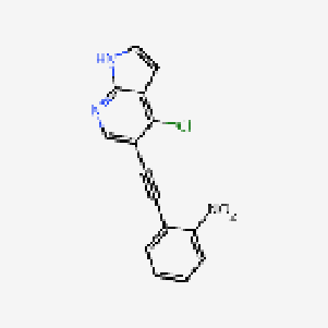 O=[N+]([O-])c1ccccc1C#Cc1cnc2[nH]ccc2c1Cl